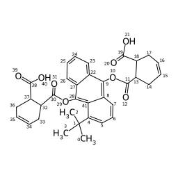 CC(C)(C)c1cccc2c(OC(=O)C3CC=CCC3C(=O)O)c3ccccc3c(OC(=O)C3CC=CCC3C(=O)O)c12